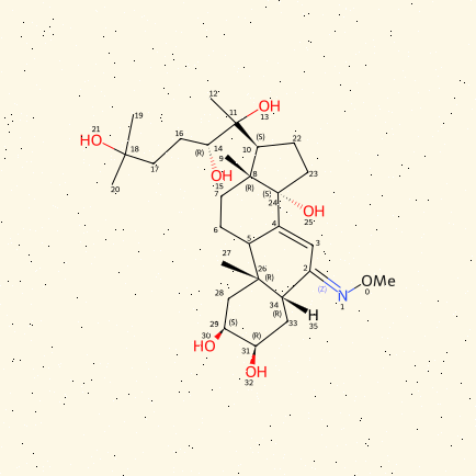 CO/N=C1\C=C2C(CC[C@]3(C)[C@@H](C(C)(O)[C@H](O)CCC(C)(C)O)CC[C@@]23O)[C@@]2(C)C[C@H](O)[C@H](O)C[C@@H]12